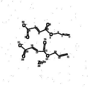 C=CCOC(=O)C=CC(=O)[O-].C=CCOC(=O)C=CC(=O)[O-].[Zn+2]